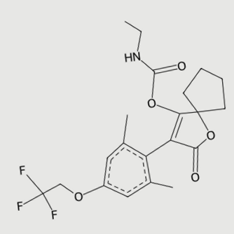 CCNC(=O)OC1=C(c2c(C)cc(OCC(F)(F)F)cc2C)C(=O)OC12CCCC2